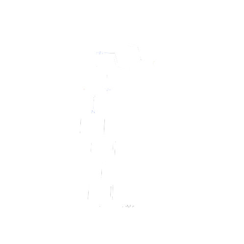 COc1cccc(-c2ccc3c(c2)CCN(C(=O)Nc2c[nH]c4ccc(F)cc24)C3)c1